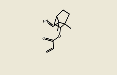 C=CC(=O)OC1CC2CCC1(C)C2(C)C=N